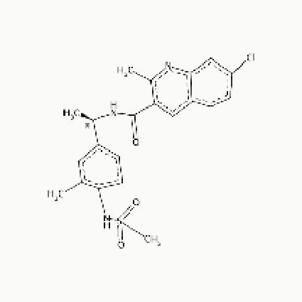 Cc1cc([C@@H](C)NC(=O)c2cc3ccc(Cl)cc3nc2C)ccc1NS(C)(=O)=O